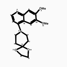 COc1cc2nccc(N3CCC4(CC3)OCCO4)c2cc1OC